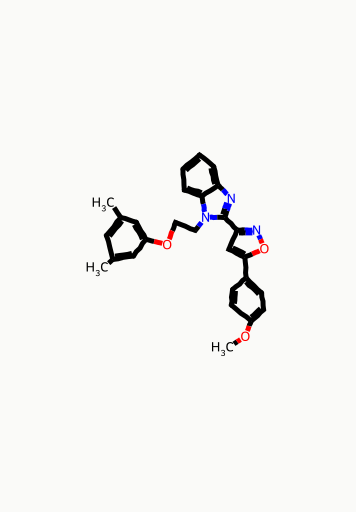 COc1ccc(-c2cc(-c3nc4ccccc4n3CCOc3cc(C)cc(C)c3)no2)cc1